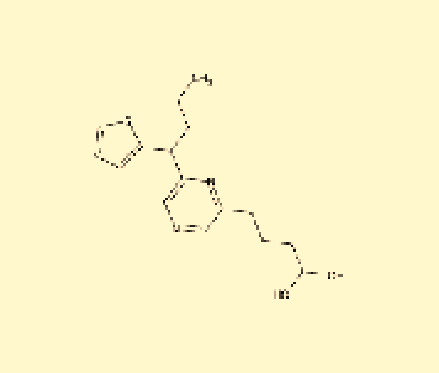 CCCC(c1cncc(CCCC(O)O)n1)c1cccs1